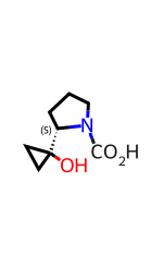 O=C(O)N1CCC[C@H]1C1(O)CC1